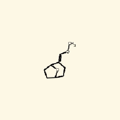 COC=C1CCC2CCC1O2